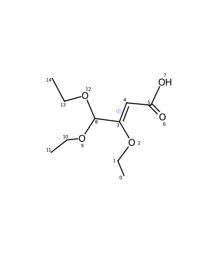 CCO/C(=C\C(=O)O)C(OCC)OCC